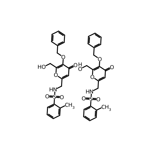 Cc1ccccc1S(=O)(=O)NCc1cc(=O)c(OCc2ccccc2)c(CO)o1.Cc1ccccc1S(=O)(=O)NCc1cc(=O)c(OCc2ccccc2)c(CO)o1